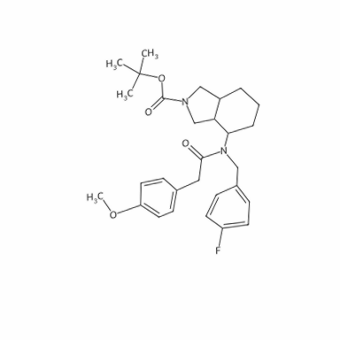 COc1ccc(CC(=O)N(Cc2ccc(F)cc2)C2CCCC3CN(C(=O)OC(C)(C)C)CC32)cc1